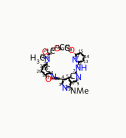 CNc1ncc2c3cc(ncc13)Nc1cccc(n1)OCCOCC(=O)N(C)c1ccc3oc-2nc3c1